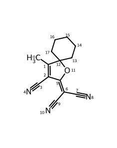 CC1=C(C#N)C(=C(C#N)C#N)OC12CCCCC2